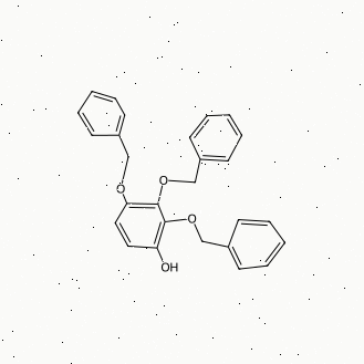 Oc1ccc(OCc2ccccc2)c(OCc2ccccc2)c1OCc1ccccc1